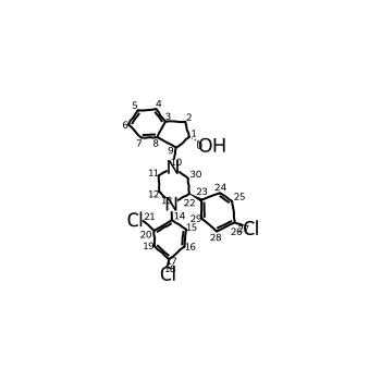 O[C@H]1Cc2ccccc2C1N1CCN(c2ccc(Cl)cc2Cl)[C@H](c2ccc(Cl)cc2)C1